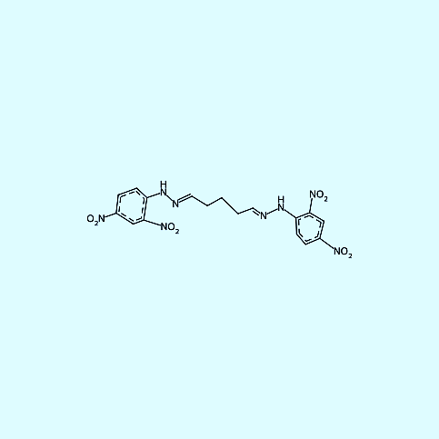 O=[N+]([O-])c1ccc(NN=CCCCC=NNc2ccc([N+](=O)[O-])cc2[N+](=O)[O-])c([N+](=O)[O-])c1